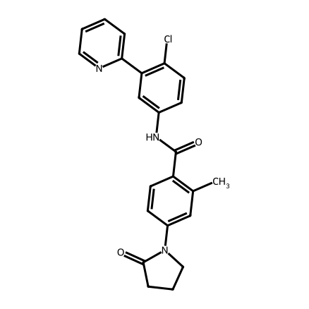 Cc1cc(N2CCCC2=O)ccc1C(=O)Nc1ccc(Cl)c(-c2ccccn2)c1